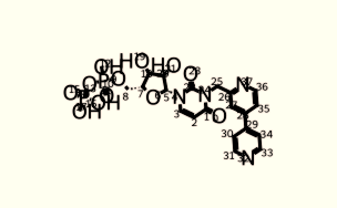 O=c1ccn([C@@H]2O[C@H](COP(=O)(O)OP(=O)(O)O)C(O)C2O)c(=O)n1Cc1cc(-c2ccncc2)ccn1